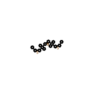 c1ccc(-c2ccc3sc4ccc(-c5c6ccccc6c(-c6ccc7c(c6)sc6c(-c8c9ccccc9c(-c9ccc%10sc%11ccc(-c%12ccccc%12)cc%11c%10c9)c9ccccc89)cccc67)c6ccccc56)cc4c3c2)cc1